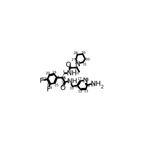 CC(C(=O)NC[C@H](C(=O)NCc1ccc(N)nc1)c1ccc(F)c(F)c1)N1CCCCC1